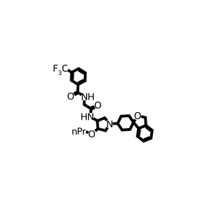 CCCOC1CN(C2CCC3(CC2)OCc2ccccc23)CC1NC(=O)CNC(=O)c1cccc(C(F)(F)F)c1